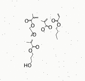 C=C(C)C(=O)OC.C=C(C)C(=O)OCC1CO1.C=C(C)C(=O)OCCCO.C=CC(=O)OCCCC